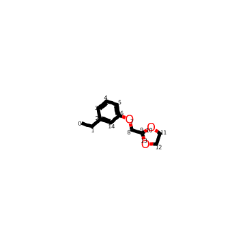 CCc1cccc(OCC2OCCO2)c1